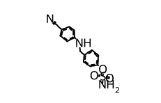 N#Cc1ccc(NCc2ccc(OS(N)(=O)=O)cc2)cc1